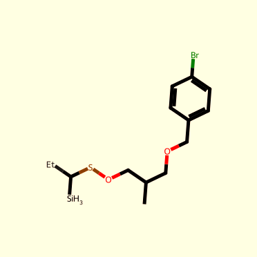 CCC([SiH3])SOCC(C)COCc1ccc(Br)cc1